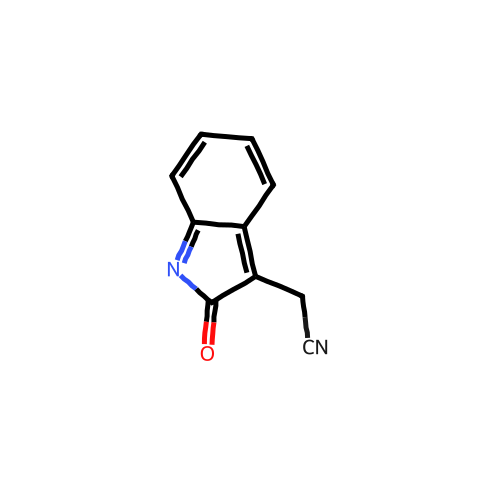 N#CCC1=c2ccccc2=NC1=O